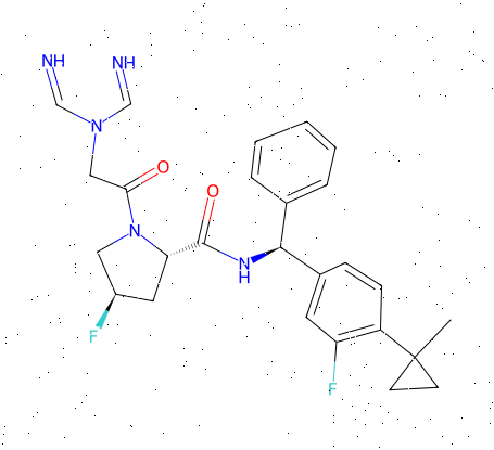 CC1(c2ccc([C@@H](NC(=O)[C@@H]3C[C@@H](F)CN3C(=O)CN(C=N)C=N)c3ccccc3)cc2F)CC1